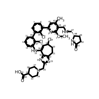 COc1nc(-c2cccc(-c3cccc(NC4=CC(Cl)CCc5sc(CN6CCC(C(=O)O)CC6)nc54)c3Cl)c2Cl)cc(C)c1CNC[C@@H]1CCC(=O)N1